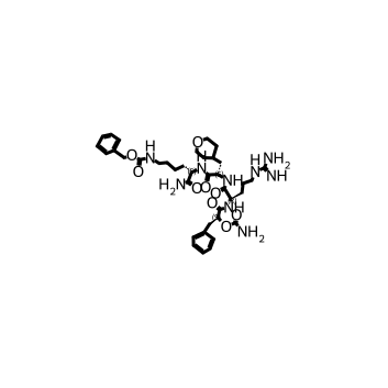 N=C(N)NCCC[C@@H](NC(=O)[C@H](Cc1ccccc1)OC(N)=O)C(=O)N[C@@H](CC1CCOCC1)C(=O)N[C@@H](CCCCNC(=O)OCc1ccccc1)C(N)=O